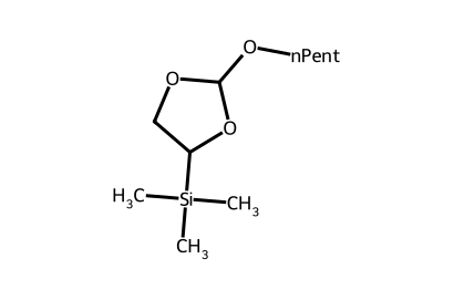 CCCCCOC1OCC([Si](C)(C)C)O1